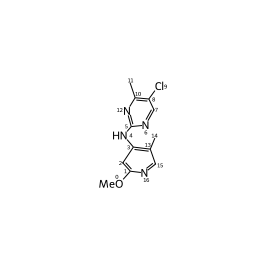 COc1cc(Nc2ncc(Cl)c(C)n2)c(C)cn1